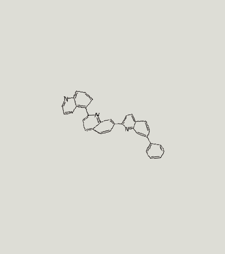 c1ccc(-c2ccc3ccc(-c4ccc5ccc(-c6cccc7ncccc67)nc5c4)nc3c2)cc1